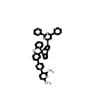 Cc1ccc(-c2ccc(-c3ccc4c(c3)C3(c5ccccc5O4)c4ccccc4-c4ccc(-c5cc(-c6ccccc6)nc(-c6ccccc6)n5)cc43)cc2)c(C)n1